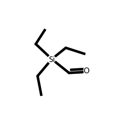 CC[Si](C=O)(CC)CC